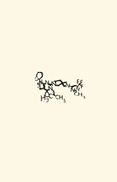 Cc1nc(N2CC3(CCN(c4nc5c(cnn5C5CCCCO5)c(=O)n4CC(C)C)C3)C2)cc(C(F)(F)F)n1